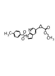 CCOC(=O)C1CC1c1cnc2c(ccn2S(=O)(=O)c2ccc(C)cc2)c1